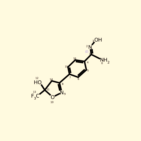 N/C(=N\O)c1ccc(C2=NOC(O)(C(F)(F)F)C2)cc1